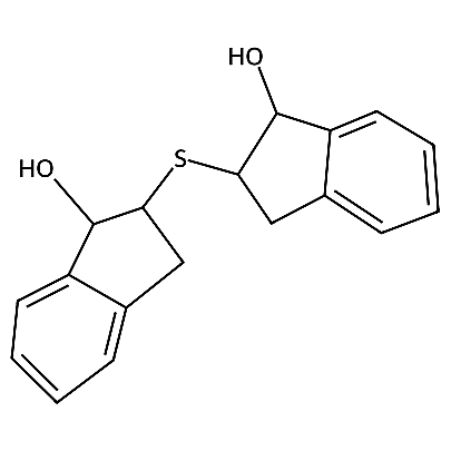 OC1c2ccccc2CC1SC1Cc2ccccc2C1O